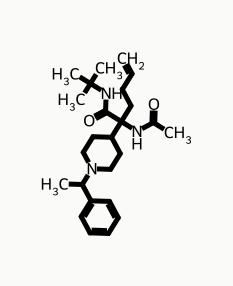 C=CCCC(NC(C)=O)(C(=O)NC(C)(C)C)C1CCN(C(C)c2ccccc2)CC1